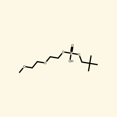 COCCOCCOP(=O)(O)OCC(C)(C)C